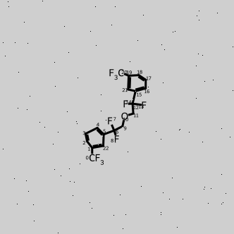 FC(F)(F)c1cccc(C(F)(F)COCC(F)(F)c2cccc(C(F)(F)F)c2)c1